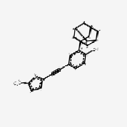 O=C(O)c1ccc(C#Cc2ccc(O)c(C34CC5CC(CC(C5)C3)C4)c2)s1